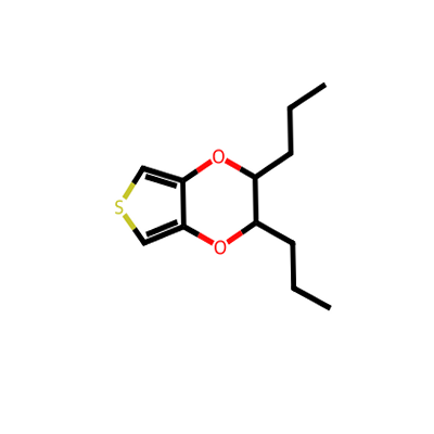 CCCC1Oc2cscc2OC1CCC